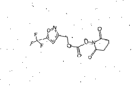 O=C(OCc1cc(C(F)(F)F)on1)ON1C(=O)CCC1=O